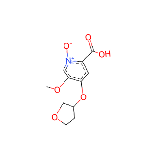 COc1c[n+]([O-])c(C(=O)O)cc1OC1CCOC1